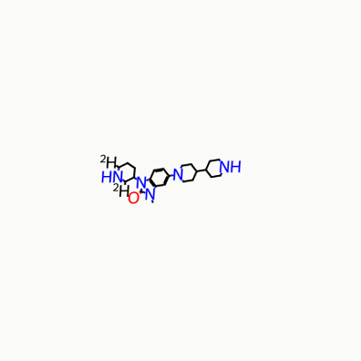 [2H]C1CCC(n2c(=O)n(C)c3cc(N4CCC(C5CCNCC5)CC4)ccc32)C([2H])N1